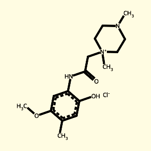 COc1cc(NC(=O)C[N+]2(C)CCN(C)CC2)c(O)cc1C.[Cl-]